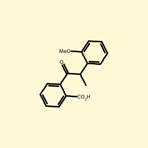 COc1ccccc1C(C)C(=O)c1ccccc1C(=O)O